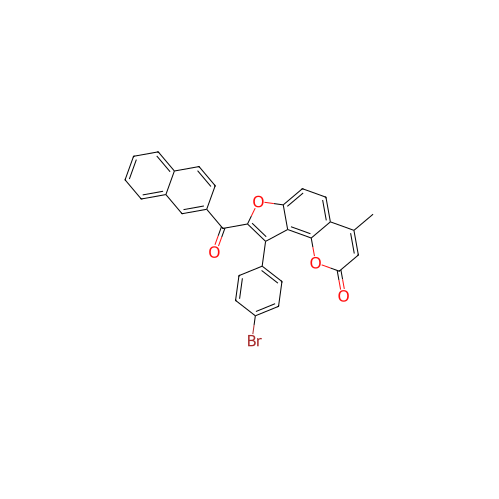 Cc1cc(=O)oc2c1ccc1oc(C(=O)c3ccc4ccccc4c3)c(-c3ccc(Br)cc3)c12